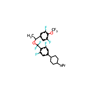 CCCC1CCC(c2cc(F)c(C(F)(F)OC(C)c3cc(F)c(OC(F)(F)F)c(F)c3)c(F)c2)CC1